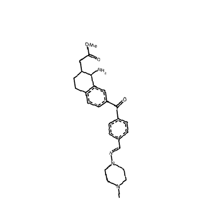 COC(=O)CC1CCc2ccc(C(=O)c3ccc(C=NN4CCN(C)CC4)cc3)cc2C1N